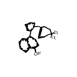 CCC1(CC)CC=C(c2ccccc2-c2ccc(O)c3ccccc23)CC1